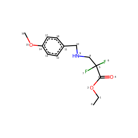 CCOC(=O)C(F)(F)CNCc1ccc(OC)cc1